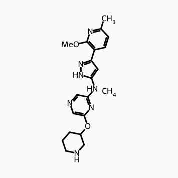 C.COc1nc(C)ccc1-c1cc(Nc2cncc(OC3CCCNC3)n2)[nH]n1